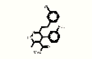 COC(=O)C1=C(C)NN=C(CCc2cccc(Cl)c2)C1c1cccc([N+](=O)[O-])c1